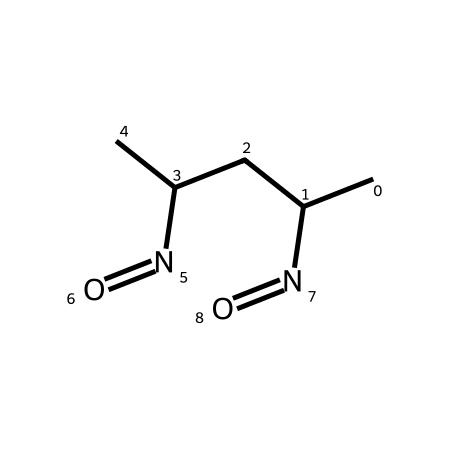 CC(CC(C)N=O)N=O